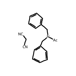 CC(=O)N(Cc1ccccc1)Cc1ccccc1.N#CCC#N